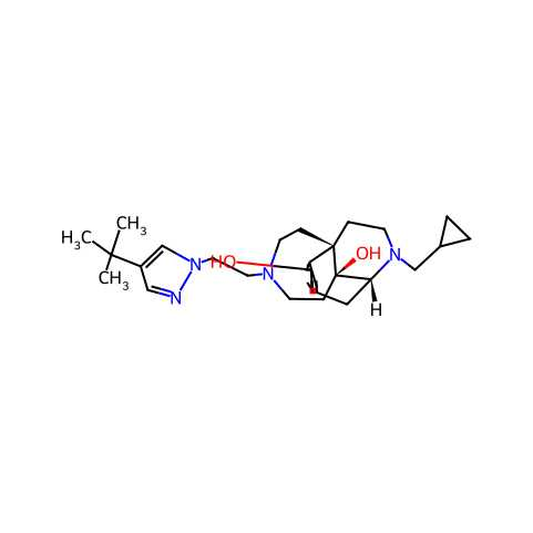 CC(C)(C)c1cnn(CCN2CC[C@]34CCN(CC5CC5)[C@H](Cc5ccc(O)cc53)[C@]4(O)CC2)c1